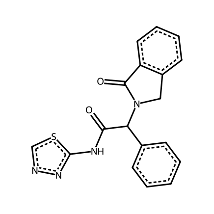 O=C(Nc1nncs1)C(c1ccccc1)N1Cc2ccccc2C1=O